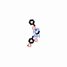 COc1ccc(CNc2ccnc(OCc3ccccc3)n2)c(OC)c1